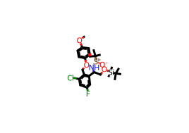 COc1ccc(OCc2c(Cl)cc(F)cc2C(CO[Si](C)(C)C(C)(C)C)N[S@+]([O-])C(C)(C)C)cc1